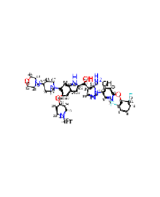 Cc1cc(Oc2c(F)cccc2F)ncc1-n1ncc(C(O)c2cc3cc(OC4CCN(C(C)C)CC4)c(N4CCC(N5CCOCC5)CC4)cc3[nH]2)c1N